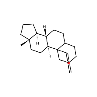 C=C=CC12CCCCC1CC[C@@H]1[C@@H]2CC[C@]2(C)CCC[C@@H]12